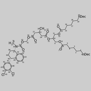 CCCCCCCCCCCCCCCC(=O)OCC(COC(=O)CCCCCCCCCCCCCCC)OC(=O)CC(C)CC(=O)OCOC(=O)N(C)[C@H]1CC[C@@H](c2ccc(Cl)c(Cl)c2)c2ccccc21